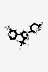 Nc1cc(-c2cn(C3=NNC(=O)CC3)nc2C(F)(F)F)ccn1